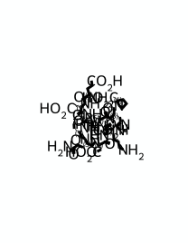 CC[C@H](C)[C@H](NC(=O)[C@H](CCCCN)NC(=O)[C@H](CC(=O)O)NC(=O)[C@H](CCC(N)=O)NC(=O)[C@H](CC(C)C)NC(=O)[C@H](CCC(=O)O)NC(=O)[C@H](CC(=O)O)NC(=O)[C@@H](N)CCC(=O)O)C(=O)N[C@@H](Cc1c[nH]cn1)C(=O)N1CCC[C@H]1C(=O)O